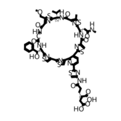 CNC(=O)C[C@@H]1NC(=O)c2csc(n2)-c2ccc(-c3nc(NC(=O)CC[C@@H](CC(=O)O)C(=O)O)cs3)nc2-c2csc(n2)-c2csc(n2)[C@H](C(O)c2ccccc2)NC(=O)CNC(=O)c2nc(sc2COC)[C@H](C(C)C)NC(=O)c2nc1sc2C